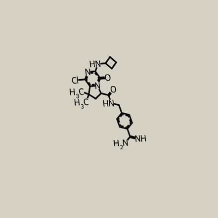 CC1(C)CC(C(=O)NCc2ccc(C(=N)N)cc2)n2c1c(Cl)nc(NC1CCC1)c2=O